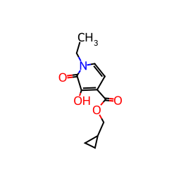 CCn1ccc(C(=O)OCC2CC2)c(O)c1=O